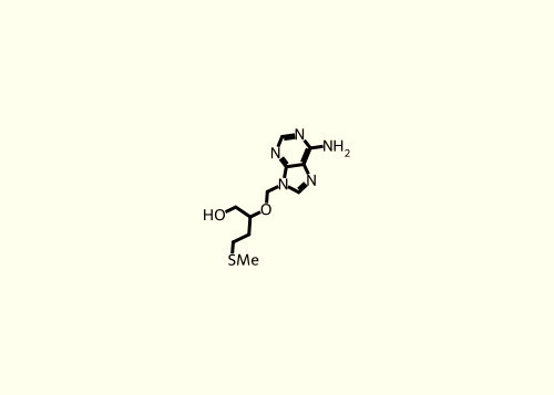 CSCCC(CO)OCn1cnc2c(N)ncnc21